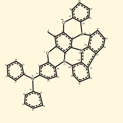 Cc1c2c3c4c5c1Oc1cc(N(c6ccccc6)c6ccccc6)ccc1B5c1cccc5c6cccc(c6n-4c15)B3c1ccccc1O2